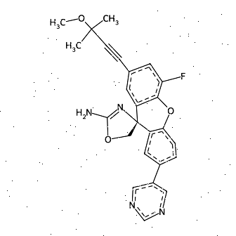 COC(C)(C)C#Cc1cc(F)c2c(c1)[C@]1(COC(N)=N1)c1cc(-c3cncnc3)ccc1O2